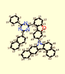 c1ccc(-c2nc(-c3ccc4ccccc4c3)nc(-c3cccc4oc5cc(-n6c7cc8ccccc8cc7c7c8ccccc8ccc76)ccc5c34)n2)cc1